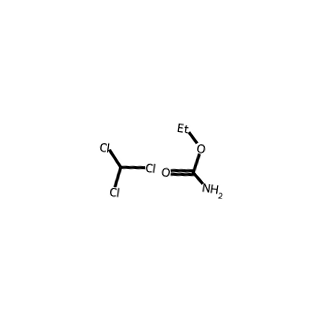 CCOC(N)=O.ClC(Cl)Cl